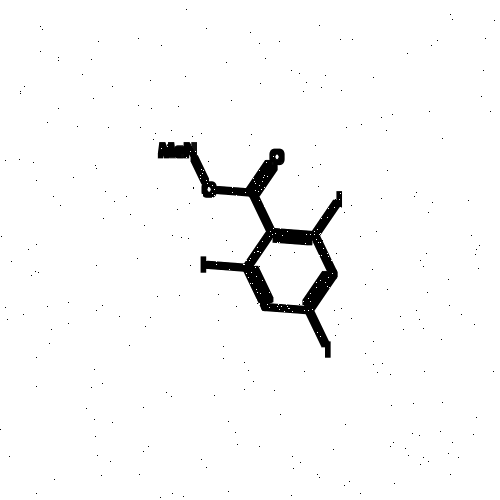 CNOC(=O)c1c(I)cc(I)cc1I